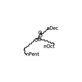 CCCCC/C=C\C/C=C\CCCCCCCCOCC(COC(=O)CCCCCCCCCCCCCCC)OCCCCCCCC/C=C\CCCCCCCC